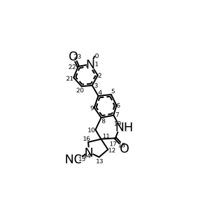 Cn1cc(-c2ccc3c(c2)CC2(CCN(C#N)C2)C(=O)N3)ccc1=O